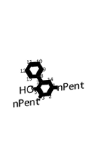 CCCCCc1cc(CCCCC)c(O)c(-c2ccccc2)c1